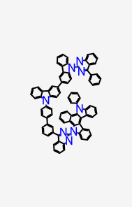 c1ccc(-c2nc(-n3c4ccccc4c4cc(-c5ccc6c(c5)c5ccccc5n6-c5ccc(-c6cccc(-c7nc(-n8c9ccccc9c9c%10c%11ccccc%11n(-c%11ccccc%11)c%10c%10ccccc%10c98)nc8ccccc78)c6)cc5)ccc43)nc3ccccc23)cc1